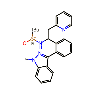 Cn1nc(-c2ccccc2C(Cc2ccccn2)N[S@@+]([O-])C(C)(C)C)c2ccccc21